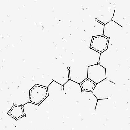 CC(C)n1nc(C(=O)NCc2ccc(-n3nccn3)cc2)c2c1[C@@H](C)CN(c1ccc(C(=O)N(C)C)cn1)C2